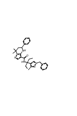 CCC(CC)(NC(=O)c1cnn2c1NC(c1ccccc1)CC2(C)C)c1cn(Cc2ccccc2)nc1C